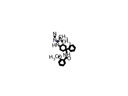 COc1ccccc1C(=O)NCC1(c2ccccc2)CCC(N/C(=N/C#N)N(C)C)CC1